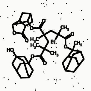 CCC(C)(CC(C)(CC(C)(C)C(=O)OC12CC3CC(CC(O)(C3)C1)C2)C(=O)OC1C2CC3C(=O)OC1C3C2)C(=O)OC1(C)C2CC3CC(C2)CC1C3